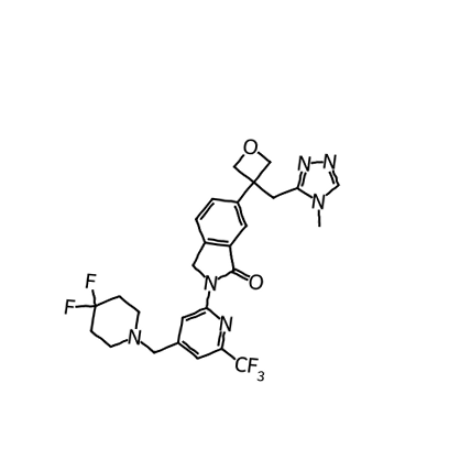 Cn1cnnc1CC1(c2ccc3c(c2)C(=O)N(c2cc(CN4CCC(F)(F)CC4)cc(C(F)(F)F)n2)C3)COC1